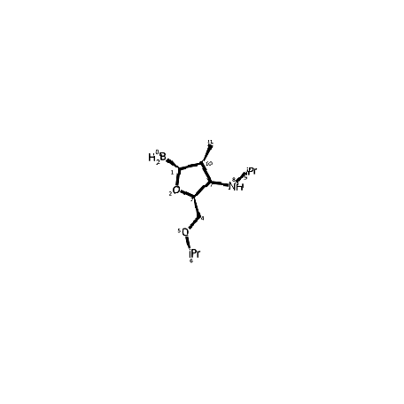 B[C@@H]1O[C@H](COC(C)C)C(NC(C)C)[C@@H]1C